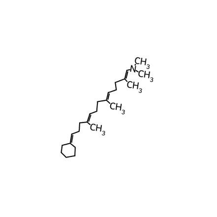 C/C(=C\CC/C(C)=C/CC/C(C)=C/N(C)C)CCC=C1CCCCC1